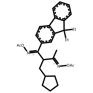 CCC1(CC)c2ccccc2-c2ccc(/C(=N\OC(C)=O)C(CC3CCCC3)/C(C)=N/OC(C)=O)cc21